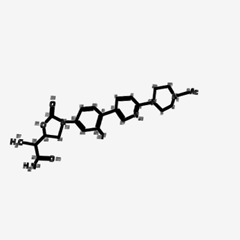 CC(=O)N1CCN(c2ccc(-c3ccc(N4CC(C(C)C(N)=O)OC4=O)cc3F)cn2)CC1